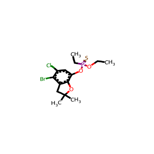 CCOP(=S)(CC)Oc1cc(Cl)c(Br)c2c1OC(C)(C)C2